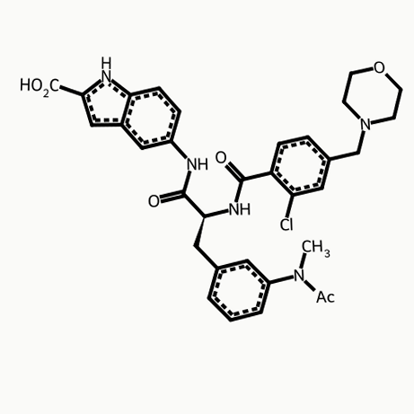 CC(=O)N(C)c1cccc(C[C@H](NC(=O)c2ccc(CN3CCOCC3)cc2Cl)C(=O)Nc2ccc3[nH]c(C(=O)O)cc3c2)c1